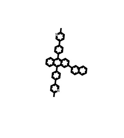 Cc1ccc(-c2ccc(-c3c4ccccc4c(-c4ccc(-c5ccc(C)nc5)cc4)c4cc(-c5ccc6ccccc6c5)ccc34)cc2)cn1